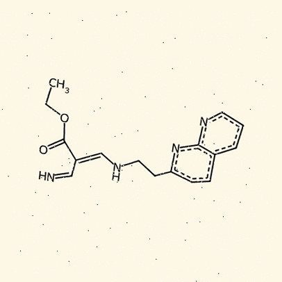 CCOC(=O)/C(C=N)=C/NCCc1ccc2cccnc2n1